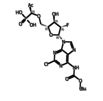 CC(=O)[C@@H](OC[C@H]1O[C@@H](n2cnc3c(NC(=O)OC(C)(C)C)nc(Cl)nc32)[C@@H](F)[C@@H]1O)P(=O)(O)O